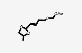 COCOCCC=CC1OCC(C)O1